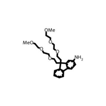 COCCOCCOCCC1(CCOCCOCCOC)c2ccccc2-c2ccc(N)cc21